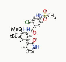 COc1c(NC(=O)c2ccc(NS(C)(=O)=O)cc2Cl)cc(-c2ccc[nH]c2=O)cc1C(C)(C)C